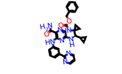 NC(=O)c1ncc(N[C@H](C2CC2)C2(NC(=O)OCc3ccccc3)CC2)nc1Nc1cccc(-c2ncccn2)c1